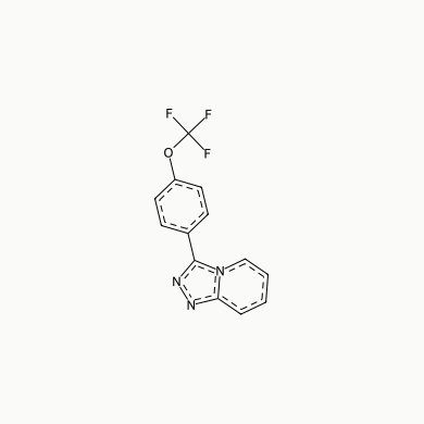 FC(F)(F)Oc1ccc(-c2nnc3ccccn23)cc1